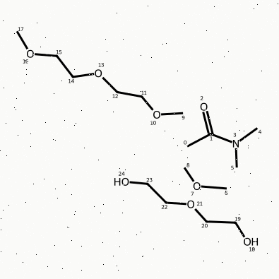 CC(=O)N(C)C.COC.COCCOCCOC.OCCOCCO